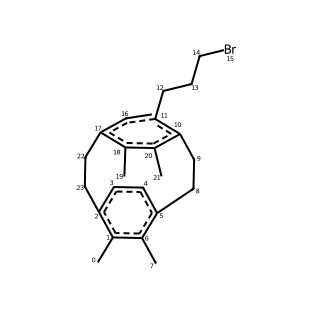 Cc1c2ccc(c1C)CCc1c(CCCBr)cc(c(C)c1C)CC2